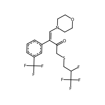 O=C(CSCC(F)C(F)(F)F)/C(=C\N1CCOCC1)c1cccc(C(F)(F)F)c1